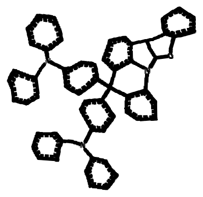 c1ccc(N(c2ccccc2)c2ccc(C3(c4ccc(N(c5ccccc5)c5ccccc5)cc4)c4ccccc4N4c5c(cccc53)C3c5ccccc5OC34)cc2)cc1